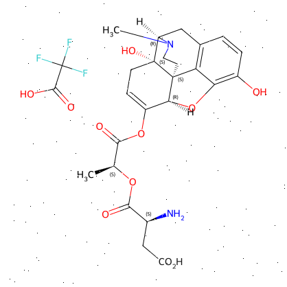 C[C@H](OC(=O)[C@@H](N)CC(=O)O)C(=O)OC1=CC[C@@]2(O)[C@H]3Cc4ccc(O)c5c4[C@@]2(CCN3C)[C@H]1O5.O=C(O)C(F)(F)F